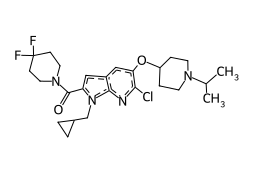 CC(C)N1CCC(Oc2cc3cc(C(=O)N4CCC(F)(F)CC4)n(CC4CC4)c3nc2Cl)CC1